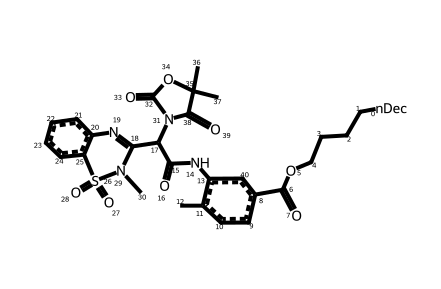 CCCCCCCCCCCCCCOC(=O)c1ccc(C)c(NC(=O)C(C2=Nc3ccccc3S(=O)(=O)N2C)N2C(=O)OC(C)(C)C2=O)c1